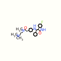 CN(C)CCCN(C)C(=O)Cc1ccc(NC(=C2C(=O)Nc3cc(F)ccc32)c2ccccc2)cc1